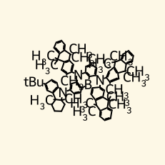 Cc1cc2c3c(c1)N(c1cc4c(cc1C)C(C)(C)c1ccccc1C4(C)C)c1cc4c(cc1B3c1ccc(N3c5ccc(C(C)(C)C)cc5C5(C)CCCCC35C)cc1N2c1cc2c(cc1C)C(C)(C)c1ccccc1C2(C)C)C(C)(C)c1ccccc1C4(C)C